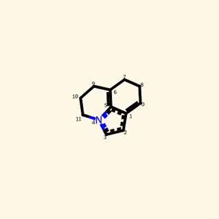 C1=c2ccn3c2=C(CC1)CCC3